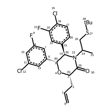 C=CC[C@@H]1O[C@H](c2cc(F)cc(Cl)c2)[C@@H](c2ccc(Cl)c(F)c2)N(C(C)CSC(C)(C)C)C1=O